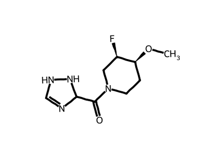 CO[C@H]1CCN(C(=O)C2N=CNN2)C[C@H]1F